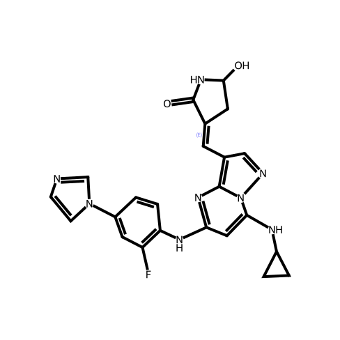 O=C1NC(O)C/C1=C\c1cnn2c(NC3CC3)cc(Nc3ccc(-n4ccnc4)cc3F)nc12